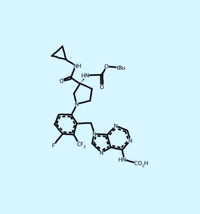 CC(C)(C)OC(=O)N[C@]1(C(=O)NC2CC2)CCN(c2ccc(F)c(C(F)(F)F)c2Cn2cnc3c(NC(=O)O)ncnc32)C1